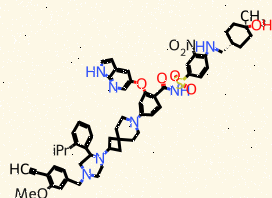 C#Cc1ccc(CN2CCN(C3CC4(CCN(c5ccc(C(=O)NS(=O)(=O)c6ccc(NC[C@H]7CC[C@](C)(O)CC7)c([N+](=O)[O-])c6)c(Oc6cnc7[nH]ccc7c6)c5)CC4)C3)C(c3ccccc3C(C)C)C2)cc1OC